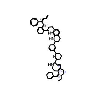 C=C/C=C(/C1=C=CC=CC=C1)[C@H](C)C1=C(C2=Nc3c(ccc4c3NC(C3C=C(C5CCCC(C6/C=C/C(/C=C\CCC)=C(/C=C\C7=CCCCC7)CCN6)=N5)C=CC3)CC4)CC2)CCC=C1